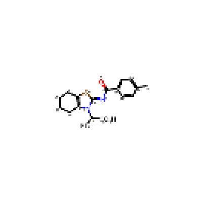 CCC(C(=O)O)n1c2c(s/c1=N\C(=O)c1ccc(C)cc1)CCCC2